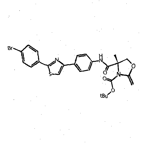 C=C1OC[C@@](C)(C(=O)Nc2ccc(-c3csc(-c4ccc(Br)cc4)n3)cc2)N1C(=O)OC(C)(C)C